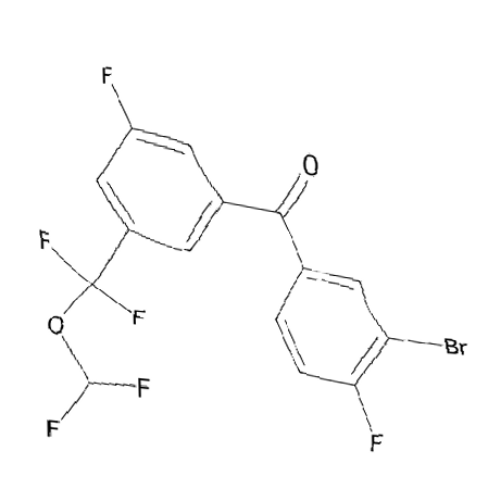 O=C(c1cc(F)cc(C(F)(F)OC(F)F)c1)c1ccc(F)c(Br)c1